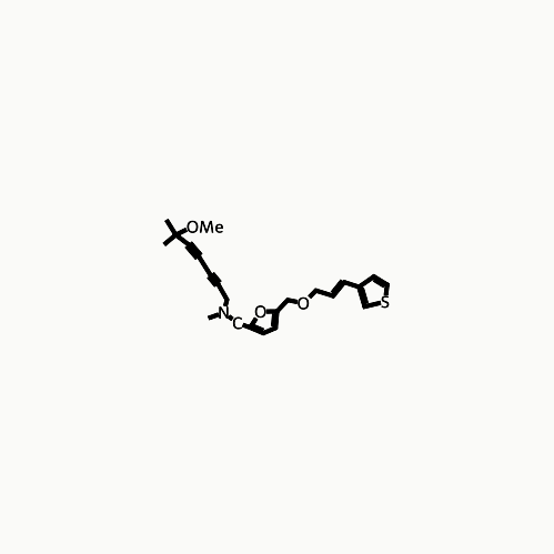 COC(C)(C)C#CC#CCN(C)Cc1ccc(COCC=Cc2ccsc2)o1